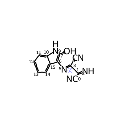 N#CC(=N)/C(C#N)=N/c1c(O)[nH]c2ccccc12